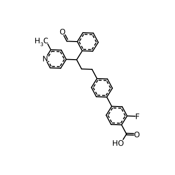 Cc1cc(C(CCc2ccc(-c3ccc(C(=O)O)c(F)c3)cc2)c2ccccc2C=O)ccn1